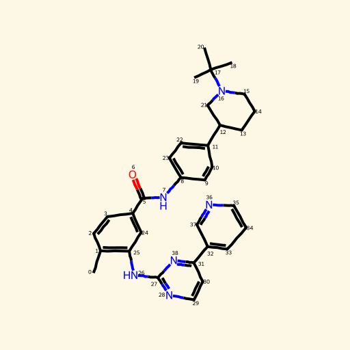 Cc1ccc(C(=O)Nc2ccc(C3CCCN(C(C)(C)C)C3)cc2)cc1Nc1nccc(-c2cccnc2)n1